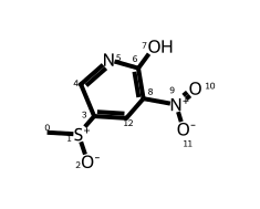 C[S+]([O-])c1cnc(O)c([N+](=O)[O-])c1